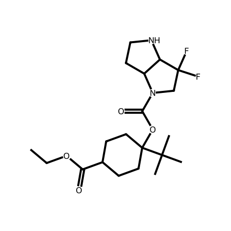 CCOC(=O)C1CCC(OC(=O)N2CC(F)(F)C3NCCC32)(C(C)(C)C)CC1